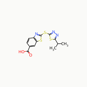 CC(C)c1nnc(Sc2nc3ccc(C(=O)O)cc3s2)s1